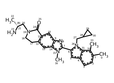 Cc1ccc2cc(-c3nc4cc5c(cc4n3C)CCN(C[C@@H](C)N)C5=O)n(CC3CC3)c2c1C